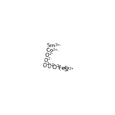 [Co+2].[Fe+3].[O-2].[O-2].[O-2].[O-2].[O-2].[Sm+3].[Sr+2]